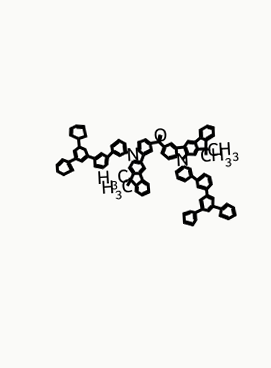 CC1(C)c2ccccc2-c2cc3c4cc(C(=O)c5ccc6c(c5)c5cc7c(cc5n6-c5cccc(-c6cccc(-c8cc(-c9ccccc9)cc(-c9ccccc9)c8)c6)c5)C(C)(C)c5ccccc5-7)ccc4n(-c4cccc(-c5cccc(C6=CC(C7=CCCC=C7)=CC(C7C=CC=CC7)C6)c5)c4)c3cc21